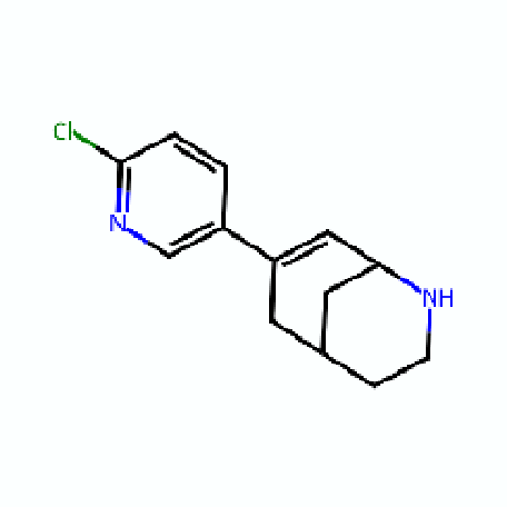 Clc1ccc(C2=CC3CC(CCN3)C2)cn1